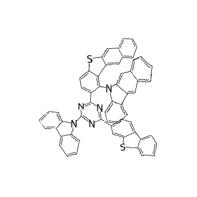 c1ccc2cc3c(cc2c1)sc1ccc(-c2nc(-c4ccc5c(c4)sc4ccccc45)nc(-n4c5ccccc5c5ccccc54)n2)c(-n2c4ccccc4c4cc5ccccc5cc42)c13